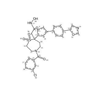 O=C(CC1(c2ccc(-c3ccc(-c4cnco4)cc3)s2)CCN(C(=O)c2cccc(Cl)c2)CCS1(=O)=O)NO